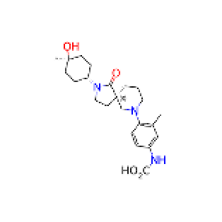 Cc1cc(NC(=O)O)ccc1N1CCC[C@@]2(CCN([C@H]3CC[C@](C)(O)CC3)C2=O)C1